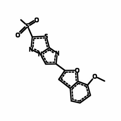 COc1cccc2cc(-c3cn4nc(S(C)(=O)=O)sc4n3)oc12